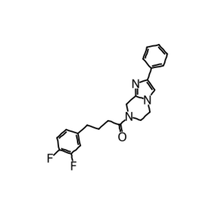 O=C(CCCc1ccc(F)c(F)c1)N1CCn2cc(-c3ccccc3)nc2C1